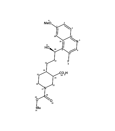 COc1ccc2ncc(F)c([C@H](O)CCC3CCN(C(=O)OC(C)(C)C)CC3C(=O)O)c2c1